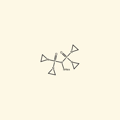 CCCCCCN(P(=O)(N1CC1)N1CC1)P(=O)(N1CC1)N1CC1